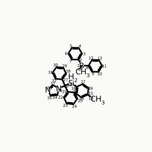 CB(c1ccccc1)c1ccccc1.Cc1ccc([SiH2]C(c2ccccc2)(c2ccccc2)n2ccnc2)cc1